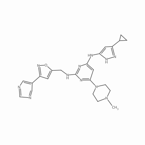 CN1CCN(c2cc(Nc3cc(C4CC4)n[nH]3)nc(NCc3cc(-c4cncnc4)no3)n2)CC1